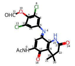 CC(=O)NC1=CC(=Nc2cc(Cl)c(OC=O)c(Cl)c2)C2=C(C1=O)C(C)(C)CC(=O)N2